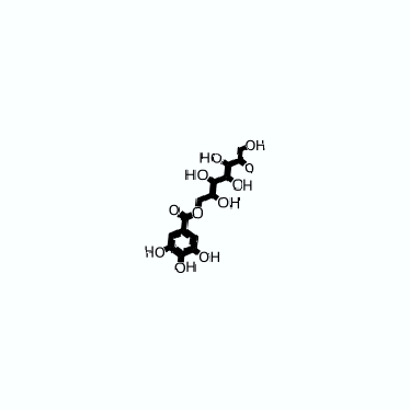 O=C(OCC(O)C(O)C(O)C(O)C(=O)CO)c1cc(O)c(O)c(O)c1